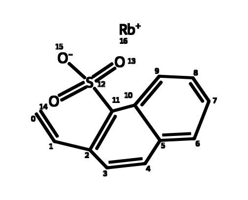 C=Cc1ccc2ccccc2c1S(=O)(=O)[O-].[Rb+]